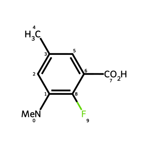 CNc1cc(C)cc(C(=O)O)c1F